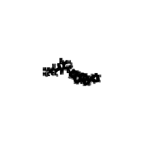 CC(C)[C@H](NC(=O)CNC(C)(C)C)C(=O)O[C@H]1CC[C@@]2(C)C(=CC[C@@H]3[C@@H]2CC[C@]2(C)C(c4cccnc4)=CC[C@@H]32)C1